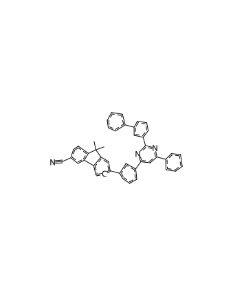 CC1(C)c2ccc(C#N)cc2-c2ccc(-c3cccc(-c4cc(-c5ccccc5)nc(-c5cccc(-c6ccccc6)c5)n4)c3)cc21